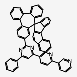 c1ccc(-c2cc(-c3ccc(-c4cccnc4)nc3)nc(-c3ccc4c(c3)C3(c5ccccc5-c5ccccc5-4)c4ccccc4-c4c3ccc3ccccc43)n2)cc1